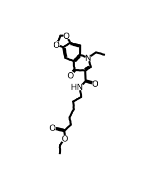 CCOC(=O)CCCCCNC(=O)c1cn(CC)c2cc3c(cc2c1=O)OCO3